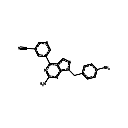 N#Cc1cncc(-c2nc(N)nc3c2cnn3Cc2ccc(N)cc2)c1